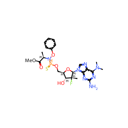 COC(=O)[C@@H](C)N(Oc1ccccc1)[PH](=S)OC[C@H]1O[C@@H](n2cnc3c(N(C)C)nc(N)nc32)[C@](C)(F)[C@@H]1O